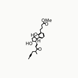 CC#CCC(C)C(=O)/C=C/[C@@H]1[C@H]2c3cccc(CCCC(=O)OC)c3O[C@H]2C[C@H]1O